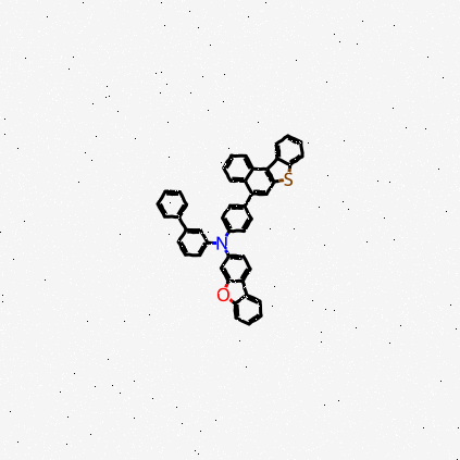 c1ccc(-c2cccc(N(c3ccc(-c4cc5sc6ccccc6c5c5ccccc45)cc3)c3ccc4c(c3)oc3ccccc34)c2)cc1